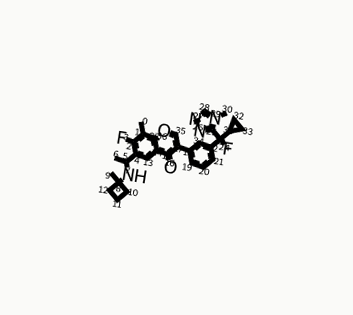 Cc1c(F)c(C(C)NC2(C)CCC2)cc2c(=O)c(-c3cccc(C(F)(c4nncn4C)C4CC4)c3)coc12